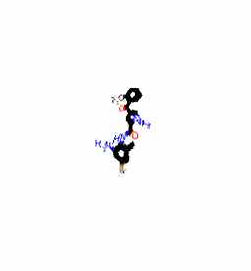 Cc1cc(Br)cc(N)c1NC(=O)c1cc(C(=O)c2ccccc2C(F)(F)F)c[nH]1